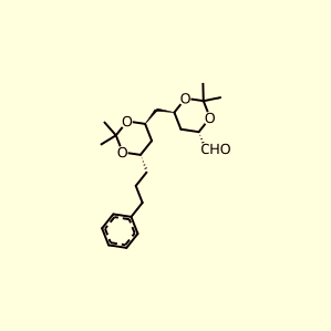 CC1(C)O[C@@H](C[C@@H]2C[C@@H](C=O)OC(C)(C)O2)C[C@H](CCCc2ccccc2)O1